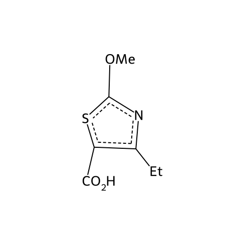 CCc1nc(OC)sc1C(=O)O